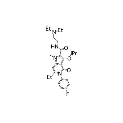 CCc1cc2c(c(OC(C)C)c(C(=O)NCCN(CC)CC)n2C)c(=O)n1-c1ccc(F)cc1